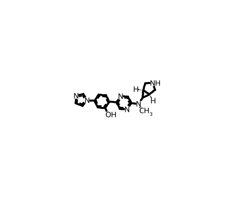 CN(c1cnc(-c2ccc(-n3ccnc3)cc2O)cn1)C1[C@H]2CNC[C@@H]12